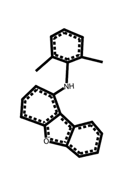 Cc1cccc(C)c1Nc1cccc2oc3ccccc3c12